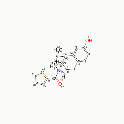 C[C@H]1[C@H]2Cc3ccc(O)cc3[C@]1(C)CCN2C(=O)c1ccco1